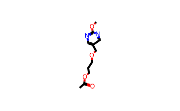 COc1ncc(COCCCOC(C)=O)cn1